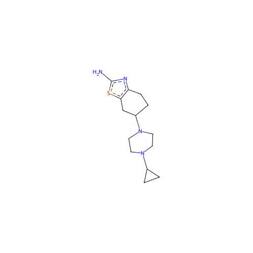 Nc1nc2c(s1)CC(N1CCN(C3CC3)CC1)CC2